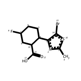 Cc1nc(C2CCC(F)CC2C(=O)O)c(Br)s1